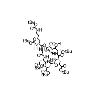 CC(C)C[C@H](NC(=O)[C@H](COC(C)(C)C)NC(=O)[C@H](CCC(=O)OC(C)(C)C)NC(=O)[C@H](CCC(=O)OC(C)(C)C)NC(=O)[C@H](CC(=O)OC(C)(C)C)NC(=O)CNC(=O)[C@H](CCCCNC(=O)OC(C)(C)C)NC(=O)OC(C)(C)C)C(=O)O